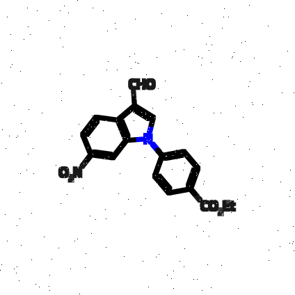 CCOC(=O)c1ccc(-n2cc(C=O)c3ccc([N+](=O)[O-])cc32)cc1